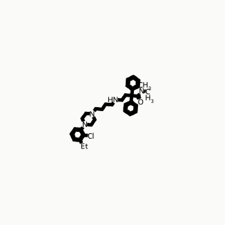 CCc1cccc(N2CCN(CCCCNCCC(C(=O)N(C)C)(c3ccccc3)c3ccccc3)CC2)c1Cl